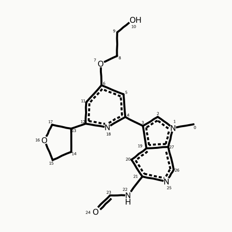 Cn1cc(-c2cc(OCCO)cc(C3CCOC3)n2)c2cc(NC=O)ncc21